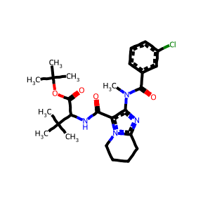 CN(C(=O)c1cccc(Cl)c1)c1nc2n(c1C(=O)NC(C(=O)OC(C)(C)C)C(C)(C)C)CCCC2